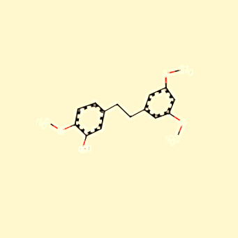 COc1cc(CCc2ccc(OC)c(O)c2)cc(OC)c1